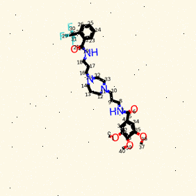 COc1cc(C(=O)NCCCN2CCCN(CCCNC(=O)c3ccccc3C(F)(F)F)CC2)cc(OC)c1OC